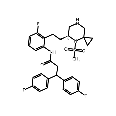 CS(=O)(=O)N1[C@@H](CCc2c(F)cccc2NC(=O)CC(c2ccc(F)cc2)c2ccc(F)cc2)CNCC12CC2